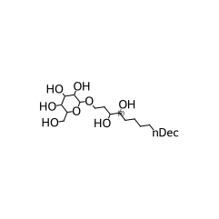 CCCCCCCCCCCCCC[C@@H](O)C(O)CCOC1OC(CO)C(O)C(O)C1O